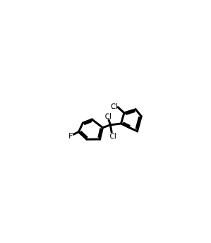 Fc1ccc(C(Cl)(Cl)c2ccccc2Cl)cc1